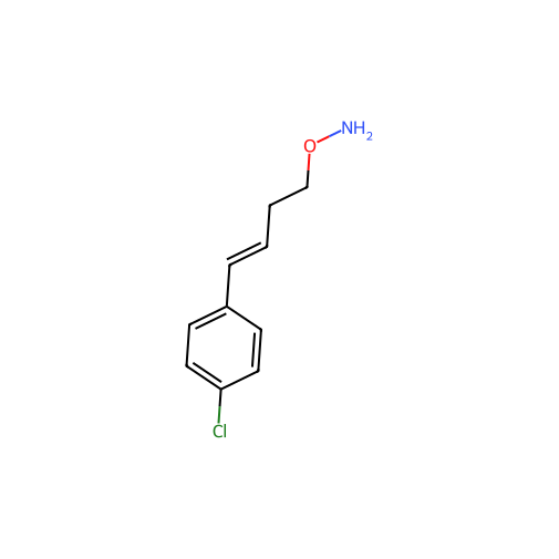 NOCC/C=C/c1ccc(Cl)cc1